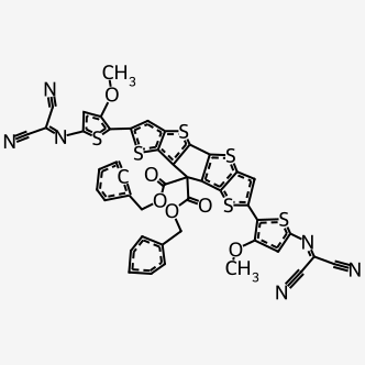 COc1cc(N=C(C#N)C#N)sc1-c1cc2sc3c(c2s1)C(C(=O)OCc1ccccc1)(C(=O)OCc1ccccc1)c1c-3sc2cc(-c3sc(N=C(C#N)C#N)cc3OC)sc12